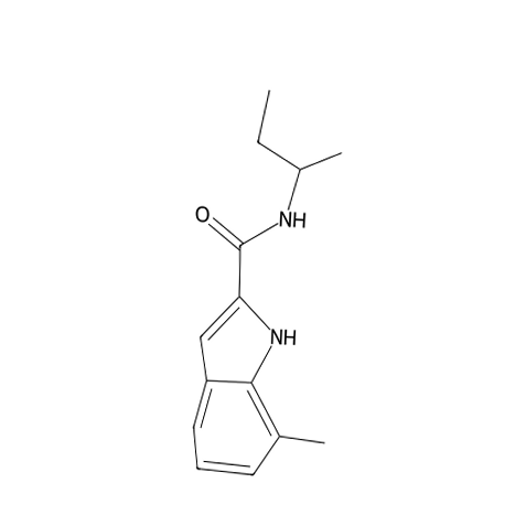 CCC(C)NC(=O)c1cc2cccc(C)c2[nH]1